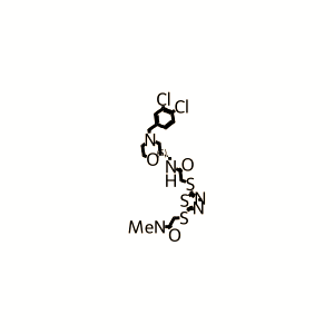 CNC(=O)CSc1nnc(SCC(=O)NC[C@H]2CN(Cc3ccc(Cl)c(Cl)c3)CCO2)s1